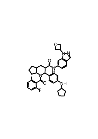 Cc1cccc(F)c1C(=O)N1C2CCCC2CC(C(=O)Nc2ccc3cnn(C4COC4)c3c2)C1c1ccc(NC2CCCC2)cc1